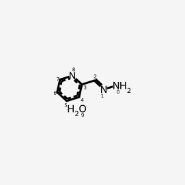 NN=Cc1ccccn1.O